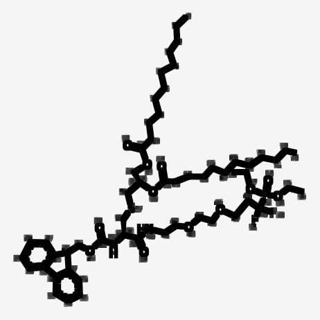 CCCCCCCCCCCC(=O)OC[C@H](CSC[C@H](NC(=O)OCC1c2ccccc2-c2ccccc21)C(=O)NCCOCCOCCC(F)(F)P(=O)(OCC)OCC)OC(=O)CCCCCCCCCCC